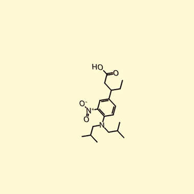 CCC(CC(=O)O)c1ccc(N(CC(C)C)CC(C)C)c([N+](=O)[O-])c1